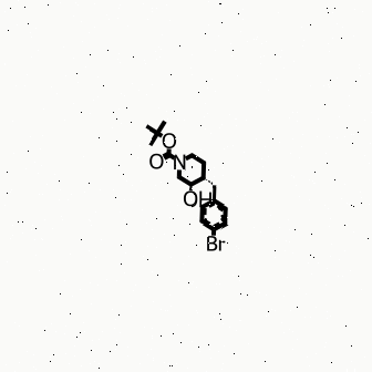 CC(C)(C)OC(=O)N1CC[C@H](Cc2ccc(Br)cc2)[C@@H](O)C1